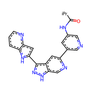 CC(C)C(=O)Nc1cncc(-c2cc3c(-c4cc5ncccc5[nH]4)n[nH]c3cn2)c1